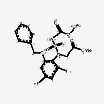 COC(=O)CN(c1c(F)cc(F)cc1OCc1ccccc1)S(=O)(=O)NC(=O)OC(C)(C)C